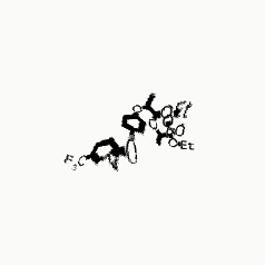 CCOP(=O)(OCC)C(C)OC(=O)C(C)Oc1ccc(Oc2ccc(C(F)(F)F)cn2)cc1